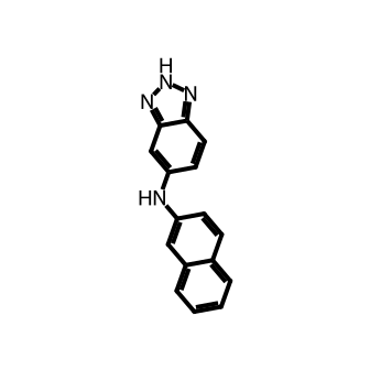 c1ccc2cc(Nc3ccc4n[nH]nc4c3)ccc2c1